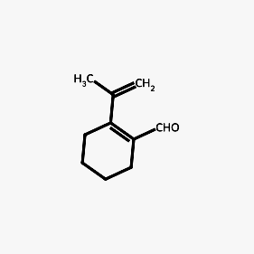 C=C(C)C1=C(C=O)CCCC1